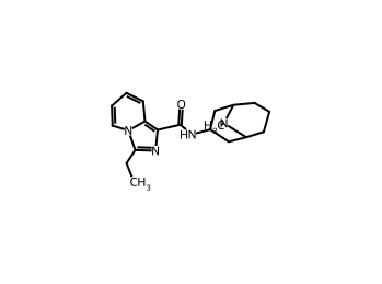 CCc1nc(C(=O)NC2CC3CCCC(C2)N3C)c2ccccn12